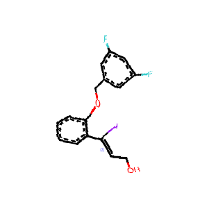 OC/C=C(\I)c1ccccc1OCc1cc(F)cc(F)c1